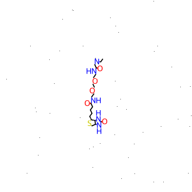 CCN(C)CC(=O)NCCOCCOCCNC(=O)CCCCC1SCC2NC(=O)NC21